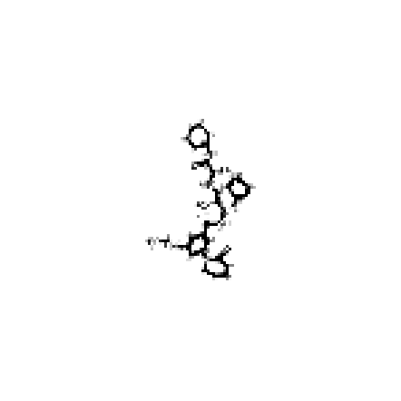 CCNc1cc(C(=O)N[C@@H](Cc2ccccc2)[C@H](O)CN[C@@H](C)C(=O)NC2CCCCC2)cc(N2CCCCC2=O)c1